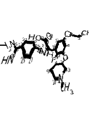 CCOc1cc(O[C@@H]2CCCN(C)C2)c(F)c(C(Nc2ccc(C(=N)N)cc2)C(=O)O)c1